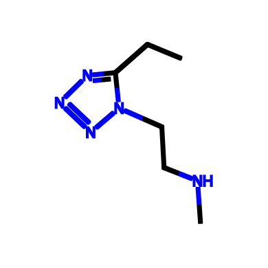 CCc1nnnn1CCNC